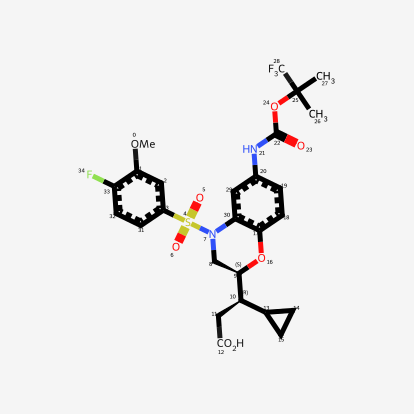 COc1cc(S(=O)(=O)N2C[C@H]([C@H](CC(=O)O)C3CC3)Oc3ccc(NC(=O)OC(C)(C)C(F)(F)F)cc32)ccc1F